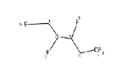 FCC(F)C(F)CC(F)(F)F